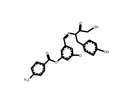 Cc1ccc(C(=O)Oc2cc(Cl)cc(/C=N\C(Cc3ccc(O)cc3)C(=O)CO)c2)cc1